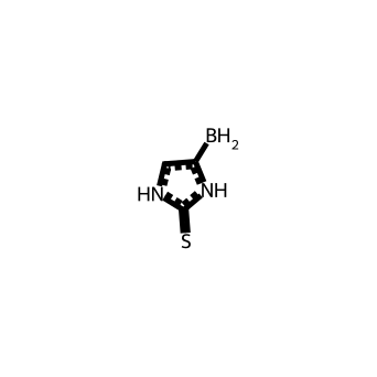 Bc1c[nH]c(=S)[nH]1